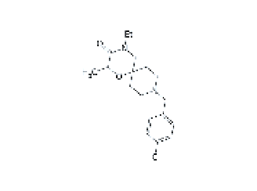 CCN1CC2(CCN(Cc3ccc(Cl)cc3)CC2)OC(C)C1=O